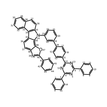 c1ccc(-c2nc(-c3ccccc3)nc(-c3ccc(-c4cccc(-n5c6ccc7ccccc7c6c6ccc7nc(-c8ccccc8)oc7c65)c4)cc3)n2)cc1